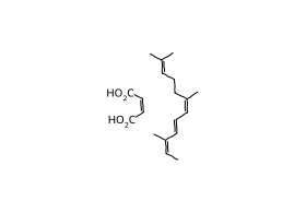 CC=C(C)C=CC=C(C)CCC=C(C)C.O=C(O)/C=C\C(=O)O